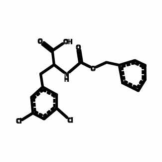 O=C(NC(Cc1cc(Cl)cc(Cl)c1)C(=O)O)OCc1ccccc1